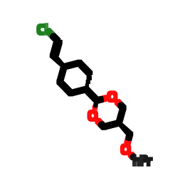 CCCOC[C@H]1CO[C@H]([C@H]2CC[C@H](/C=C/Cl)CC2)OC1